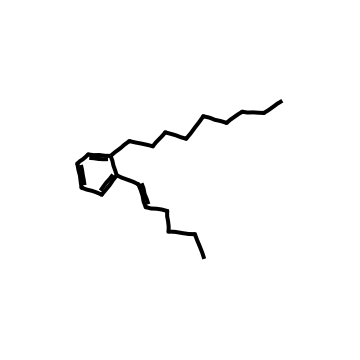 CCCCC=Cc1ccccc1CCCCCCCCC